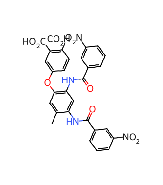 Cc1cc(Oc2ccc(C(=O)O)c(C(=O)O)c2)c(NC(=O)c2cccc([N+](=O)[O-])c2)cc1NC(=O)c1cccc([N+](=O)[O-])c1